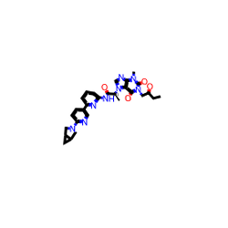 CCC(=O)Cn1c(=O)c2c(ncn2[C@@H](C)C(=O)Nc2cccc(-c3ccc(N4CC5CC5C4)nc3)n2)n(C)c1=O